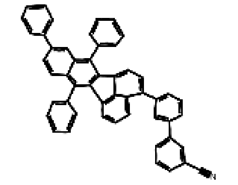 N#Cc1cccc(-c2cccc(-c3ccc4c5c(cccc35)-c3c-4c(-c4ccccc4)c4cc(-c5ccccc5)ccc4c3-c3ccccc3)c2)c1